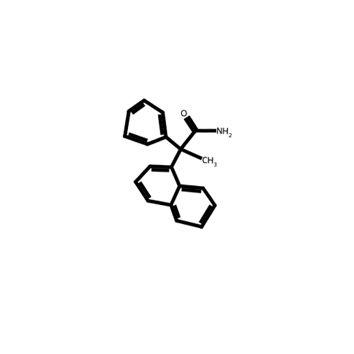 CC(C(N)=O)(c1ccccc1)c1cccc2ccccc12